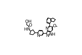 COc1cc2[nH]nc(-c3ccc(C4CCC(NC(=O)CO)C4)nc3)c2nc1-c1cccc2c1CCC2